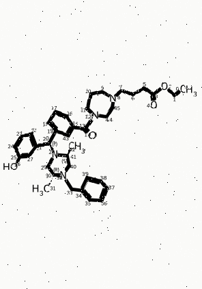 CCOC(=O)CCCN1CCCN(C(=O)c2cccc([C@H](c3cccc(O)c3)N3C[C@@H](C)N(Cc4ccccc4)C[C@@H]3C)c2)CC1